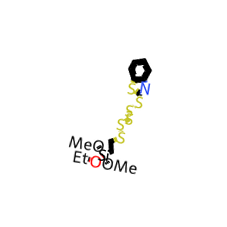 CCO[Si](CCSSSSSc1nc2ccccc2s1)(OC)OC